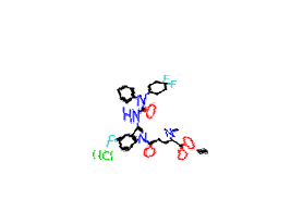 CCOC(=O)C(CCC(=O)n1cc(NC(=O)N(c2ccccc2)C2CCC(F)(F)CC2)c2cc(F)ccc21)N(C)C.Cl